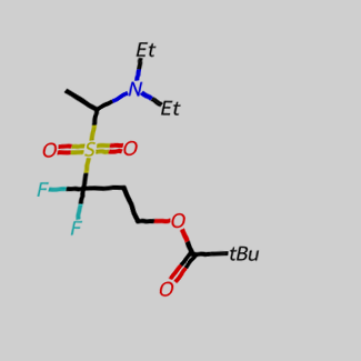 CCN(CC)C(C)S(=O)(=O)C(F)(F)CCOC(=O)C(C)(C)C